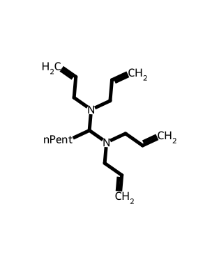 C=CCN(CC=C)C(CCCCC)N(CC=C)CC=C